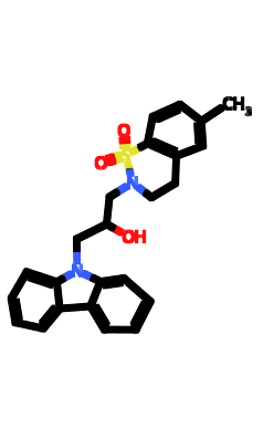 Cc1ccc2c(c1)CCN(CC(O)Cn1c3ccccc3c3ccccc31)S2(=O)=O